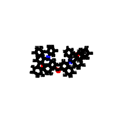 c1ccc(-c2ccccc2N(c2cc3c4cc(N(c5ccccc5-c5ccccc5)c5cccc6c5oc5ccccc56)c5ccccc5c4oc3c3ccccc23)c2cccc3c2oc2ccccc23)cc1